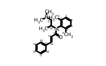 Cc1cccc(C)c1N(C(=O)/C=C/c1ccccc1)C(C)CN(C)C